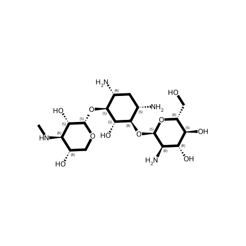 CN[C@H]1[C@H](O)[C@H](O[C@@H]2[C@@H](O)[C@H](O[C@H]3O[C@H](CO)[C@@H](O)[C@H](O)[C@H]3N)[C@@H](N)C[C@H]2N)OC[C@@H]1O